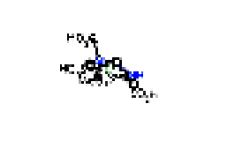 COCCC1(C)C(/C=C/C2=C(Cl)C(=C/C=C3/Nc4ccc(S(=O)(=O)O)cc4C3(C)CCCS(=O)(=O)O)/CCC2)=[N+](CCCCCC(=O)O)c2ccc(S(=O)(=O)O)cc21